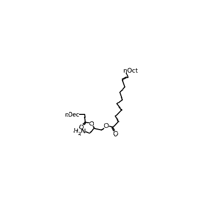 CCCCCCCCC=CCCCCCCCC(=O)OCC(CN)OC(=O)CCCCCCCCCCC